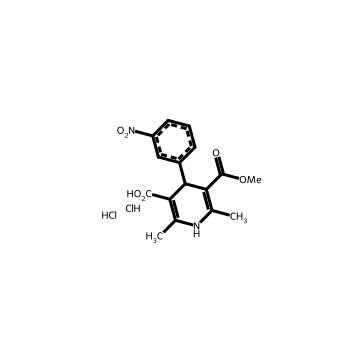 COC(=O)C1=C(C)NC(C)=C(C(=O)O)C1c1cccc([N+](=O)[O-])c1.Cl.Cl